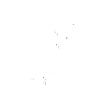 C[C@H]1CCN1c1nc2c(c(-c3ccc4c(c3)C(=O)NC4=O)n1)CCC2